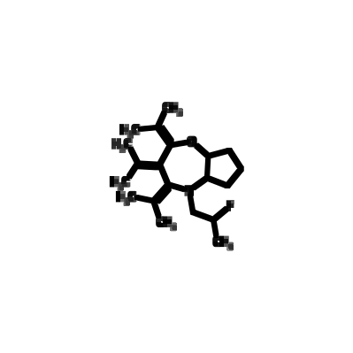 CC(C)=C1OC2CCCC2N(CC(C)F)C(=C(C)C)C1=C(C)C